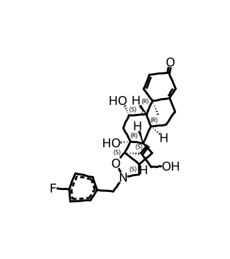 C=C(CO)[C@@]12ON(Cc3ccc(F)cc3)C[C@@H]1C[C@H]1[C@@H]3CCC4=CC(=O)C=C[C@]4(C)[C@H]3[C@@H](O)C[C@@]12O